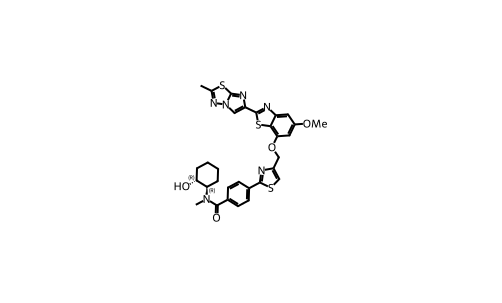 COc1cc(OCc2csc(-c3ccc(C(=O)N(C)[C@@H]4CCCC[C@H]4O)cc3)n2)c2sc(-c3cn4nc(C)sc4n3)nc2c1